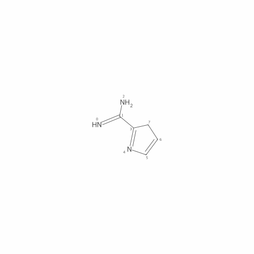 N=C(N)C1=NC=CC1